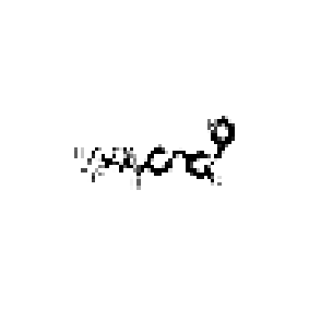 CC(C)(C)OC(=O)NC1CCN(Cc2ccc(=O)n(Cc3cccnc3)c2)CC1